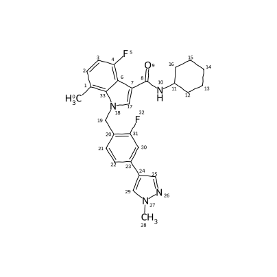 Cc1ccc(F)c2c(C(=O)NC3CCCCC3)cn(Cc3ccc(-c4cnn(C)c4)cc3F)c12